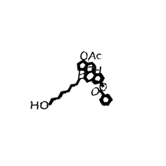 CC(=O)O[C@H]1CC[C@H]2[C@@H]3[C@H](CCCCCCCCO)Cc4cc(OC(=O)c5ccccc5)ccc4[C@H]3CC[C@]12C